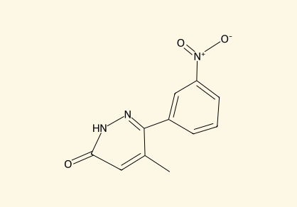 Cc1cc(=O)[nH]nc1-c1cccc([N+](=O)[O-])c1